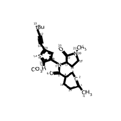 CC1CCC(C(=O)N(c2cc(C#CC(C)(C)C)sc2C(=O)O)C2CCN(C)C2=O)CC1